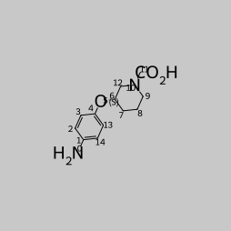 Nc1ccc(O[C@H]2CCCN(C(=O)O)C2)cc1